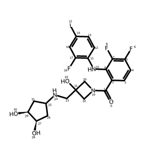 O=C(c1ccc(F)c(F)c1Nc1ccc(I)cc1F)N1CC(O)(CNC2C[C@@H](O)[C@@H](O)C2)C1